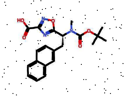 CN(C(=O)OC(C)(C)C)[C@H](Cc1ccc2ccccc2c1)c1nc(C(=O)O)no1